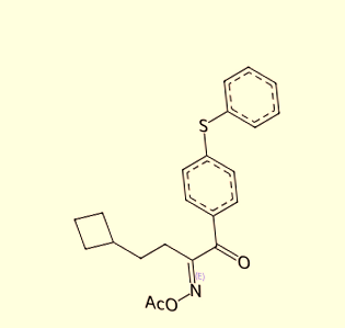 CC(=O)O/N=C(\CCC1CCC1)C(=O)c1ccc(Sc2ccccc2)cc1